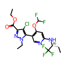 CCOC(=O)c1nn(CC)c(-c2cnc(N[C@H](CC)C(F)(F)F)cc2OC(F)F)c1Cl